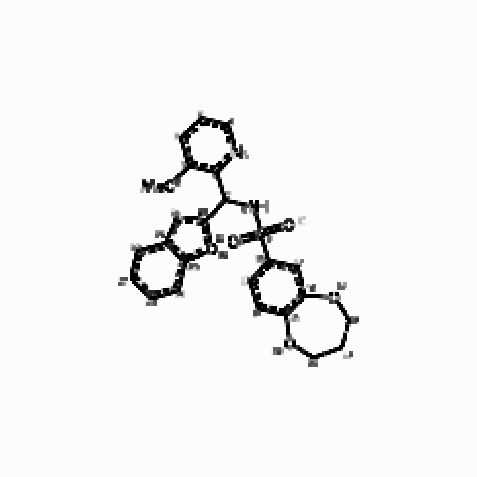 COc1cccnc1C(NS(=O)(=O)c1ccc2c(c1)OCCCO2)c1cc2ccccc2o1